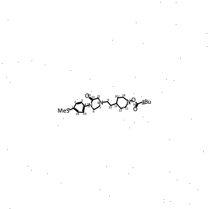 CSc1ccc(N2CCN(CCC3CCN(OC(=O)C(C)(C)C)CC3)CC2=O)cc1